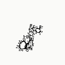 Fc1cccc(C(N2CCC(Nc3ncnc4sc5c(c34)CCCC5)CC2)C(F)(F)F)c1